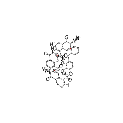 [N-]=[N+]=C1C=Cc2c(ccc(I)c2S(=O)(=O)Oc2ccc(C(=O)c3ccccc3)c(OS(=O)(=O)c3c(I)ccc4c3C=CC(=[N+]=[N-])C4=O)c2OS(=O)(=O)c2c(I)ccc3c2C=CC(=[N+]=[N-])C3=O)C1=O